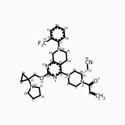 C=CC(=O)N1CCN(c2nc(OCC3(N4CCCC4)CC3)nc3c2CCN(c2ccccc2C(F)(F)F)C3)C[C@@H]1CC#N